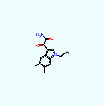 Cc1cc2c(C(=O)C(N)=O)cn(CC(C)C)c2cc1C